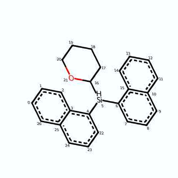 c1ccc2c([SiH](c3cccc4ccccc34)C3CCCCO3)cccc2c1